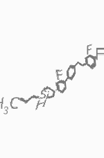 CCCCC[Si@H]1CC[C@H](c2ccc(-c3ccc(CCc4ccc(F)c(F)c4)cc3)c(F)c2)CC1